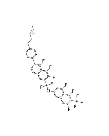 C/C=C/CCc1ccc(-c2ccc3cc(C(F)(F)Oc4cc(F)c5c(F)c(C(F)(F)F)c(F)cc5c4)c(F)c(F)c3c2F)cc1